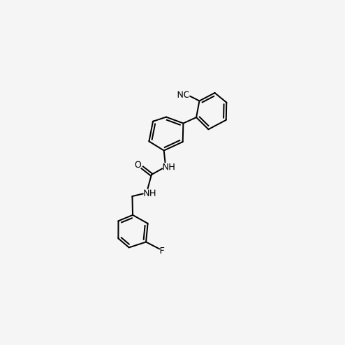 N#Cc1ccccc1-c1cccc(NC(=O)NCc2cccc(F)c2)c1